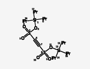 CC(C)[Si](OS(=O)(=O)C#CS(=O)(=O)O[Si](C(C)C)(C(C)C)C(C)C)(C(C)C)C(C)C